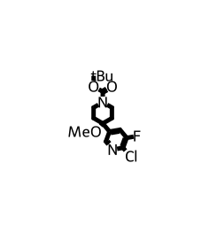 COC1(c2cnc(Cl)c(F)c2)CCN(C(=O)OC(C)(C)C)CC1